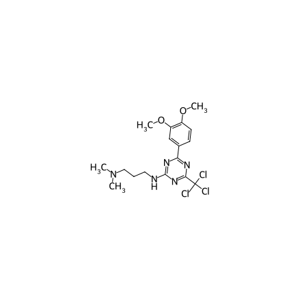 COc1ccc(-c2nc(NCCCN(C)C)nc(C(Cl)(Cl)Cl)n2)cc1OC